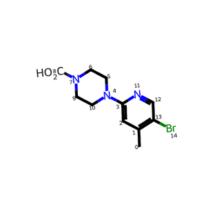 Cc1cc(N2CCN(C(=O)O)CC2)ncc1Br